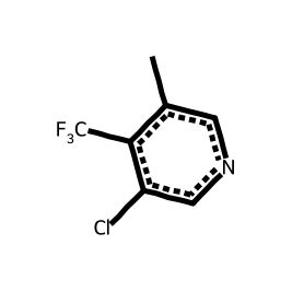 Cc1cncc(Cl)c1C(F)(F)F